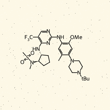 COc1cc(N2CCN(C(C)(C)C)CC2)c(C)cc1Nc1ncc(C(F)(F)F)c(N[C@@H]2CCC[C@H]2N(C)S(C)(=O)=O)n1